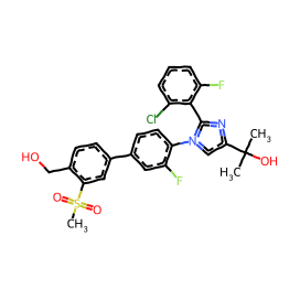 CC(C)(O)c1cn(-c2ccc(-c3ccc(CO)c(S(C)(=O)=O)c3)cc2F)c(-c2c(F)cccc2Cl)n1